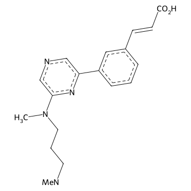 CNCCCN(C)c1cncc(-c2cccc(/C=C/C(=O)O)c2)n1